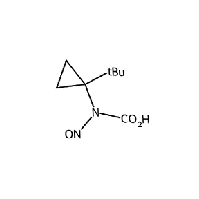 CC(C)(C)C1(N(N=O)C(=O)O)CC1